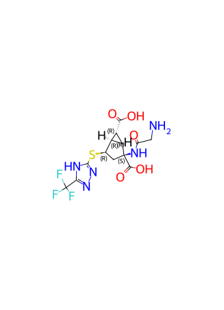 NCC(=O)N[C@@]1(C(=O)O)C[C@@H](Sc2nnc(C(F)(F)F)[nH]2)[C@H]2[C@H](C(=O)O)[C@H]21